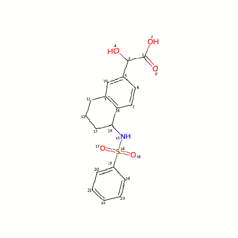 O=C(O)C(O)c1ccc2c(c1)CCCC2NS(=O)(=O)c1ccccc1